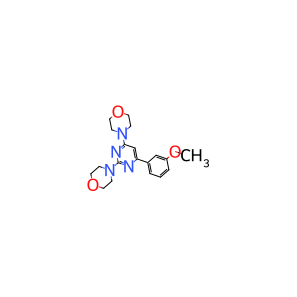 COc1cccc(-c2cc(N3CCOCC3)nc(N3CCOCC3)n2)c1